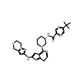 CC(C)(C)c1cnc(C(=O)N[C@H]2CCCN(C3=C4C=C(Nc5cc6n(n5)CCOC6)N=C4CC=N3)C2)cn1